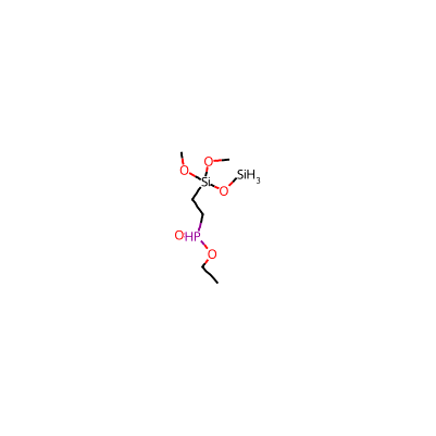 CCO[PH](=O)CC[Si](OC)(OC)O[SiH3]